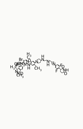 CCOc1cc(N2CCC(NCCNCC3CN(c4cc(F)c(C5CCC(=O)NC5=O)c(F)c4)C3)CC2)c(CC)cc1Nc1ncc(Br)c(Nc2ccc3c(=O)n(C)ncc3c2P(C)(C)=O)n1